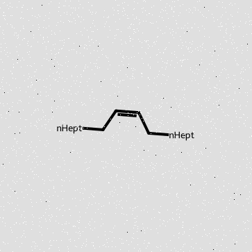 CCCCCCCC/C=C\CCCCCCCC